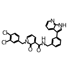 O=C(NCc1cccc(-c2c[nH]c3ncccc23)c1)c1cccn(Cc2ccc(Cl)c(Cl)c2)c1=O